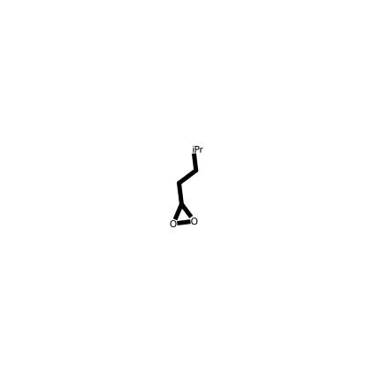 CC(C)CCC1OO1